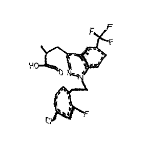 CC(Cc1nn(Cc2ccc(Cl)cc2F)c2ccc(C(F)(F)F)cc12)C(=O)O